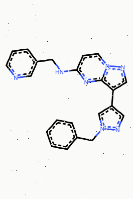 c1ccc(Cn2cc(-c3cnn4ccc(NCc5cccnc5)nc34)cn2)cc1